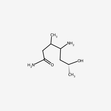 CC(CC(N)=O)C(N)C[C@@H](C)O